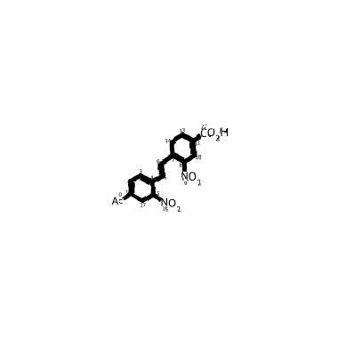 CC(=O)C1=CC=C(/C=C/C2=C([N+](=O)[O-])C=C(C(=O)O)CC2)C([N+](=O)[O-])C1